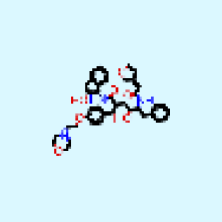 O=C(C=C1CCOC1)NC(Cc1ccccc1)C(O)CC(Cc1ccc(OCCN2CCOCC2)cc1)C(=O)N[C@H]1c2ccccc2C[C@@H]1O